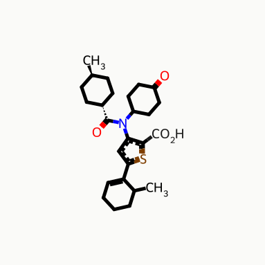 CC1CCCC=C1c1cc(N(C(=O)[C@H]2CC[C@H](C)CC2)C2CCC(=O)CC2)c(C(=O)O)s1